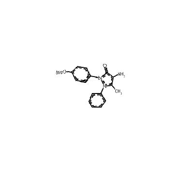 COc1ccc(-n2c(=O)c(N)c(C)n2-c2ccccc2)cc1